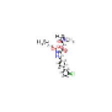 CCCCOC(=O)NC(CCc1ccc(-c2cccc(Cl)c2)cc1)C(=O)OCC(=O)N(C)C